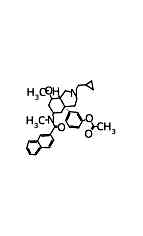 COC1C[C@H](N(C)C(=O)c2ccc3ccccc3c2)C[C@]2(c3cccc(OC(C)=O)c3)CCN(CC3CC3)C[C@@H]12